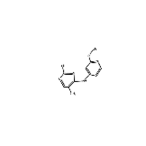 Cc1cnc(Cl)nc1Nc1cccc(OC(C)C)c1